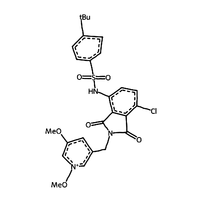 COc1cc(CN2C(=O)c3c(Cl)ccc(NS(=O)(=O)c4ccc(C(C)(C)C)cc4)c3C2=O)c[n+](OC)c1